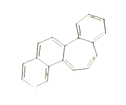 C1=Cc2ccccc2-c2ccc3c(c2=C1)=CNC=C3